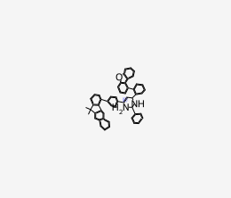 CC1(C)c2cc3ccccc3cc2-c2c(-c3ccc(/C=C/C(NC(N)c4ccccc4)c4ccccc4-c4cccc5oc6ccccc6c45)cc3)cccc21